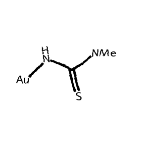 CNC(=S)[NH][Au]